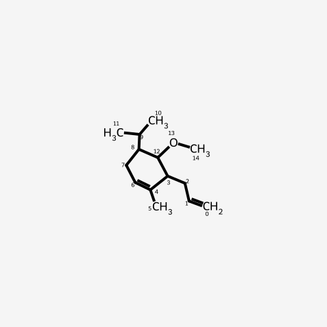 C=CCC1C(C)=CCC(C(C)C)C1OC